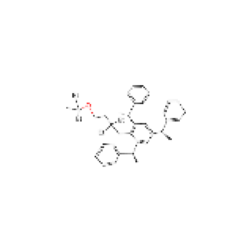 CCC(CC)(CCOC(C)(CC)CC)Cc1c([C@H](C)c2ccccc2)cc([C@H](C)C2=CCCC=C2)cc1[C@@H](C)c1ccccc1